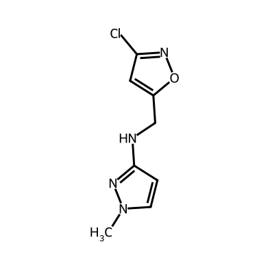 Cn1ccc(NCc2cc(Cl)no2)n1